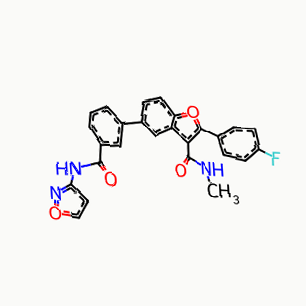 CNC(=O)c1c(-c2ccc(F)cc2)oc2ccc(-c3cccc(C(=O)Nc4ccon4)c3)cc12